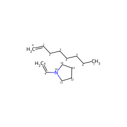 C=CCCCCCC.C=CN1CCCC1